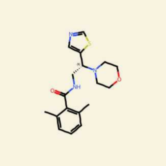 Cc1cccc(C)c1C(=O)NC[C@H](c1cncs1)N1CCOCC1